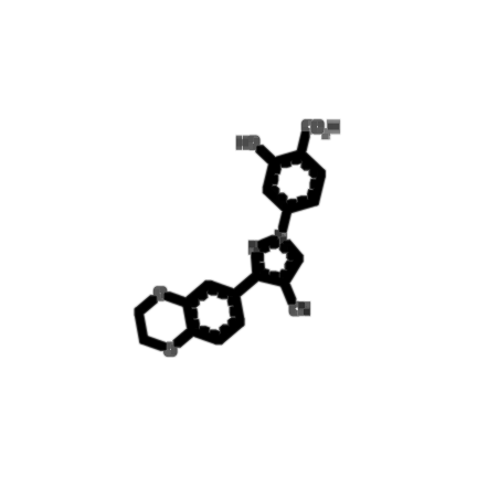 N#Cc1cn(-c2ccc(C(=O)O)c(O)c2)nc1-c1ccc2c(c1)OCCO2